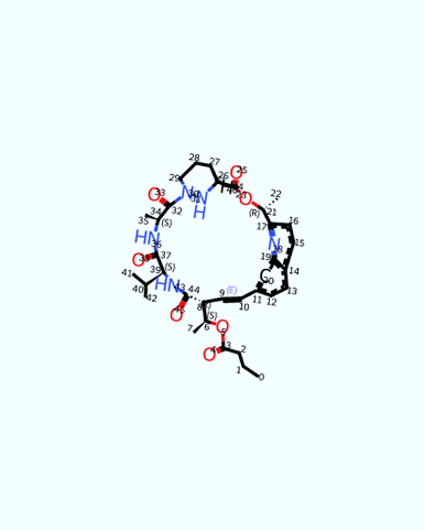 CCCC(=O)O[C@@H](C)[C@H]1/C=C/c2ccc3ccc(nc3c2)[C@@H](C)OC(=O)[C@@H]2CCCN(N2)C(=O)[C@H](C)NC(=O)[C@H](C(C)C)NC1=O